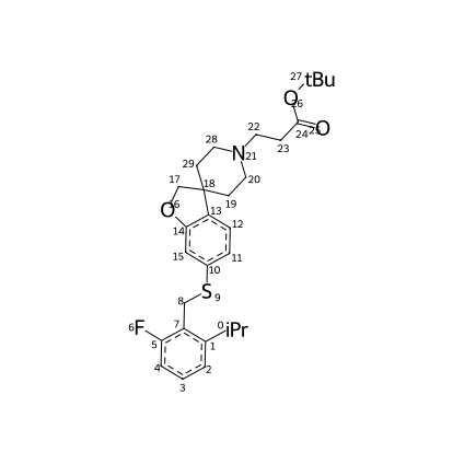 CC(C)c1cccc(F)c1CSc1ccc2c(c1)OCC21CCN(CCC(=O)OC(C)(C)C)CC1